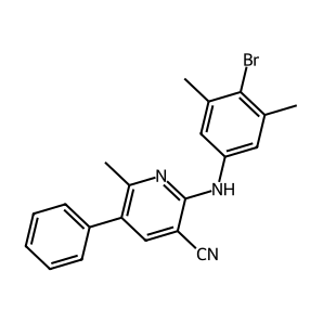 Cc1cc(Nc2nc(C)c(-c3ccccc3)cc2C#N)cc(C)c1Br